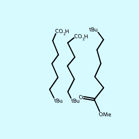 CC(C)(C)CCCCCC(=O)O.CC(C)(C)CCCCCC(=O)O.COC(=O)CCCCCC(C)(C)C